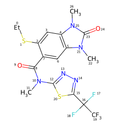 CCSc1cc2c(cc1C(=O)N(C)c1nnc(C(F)(F)C(F)(F)F)s1)n(C)c(=O)n2C